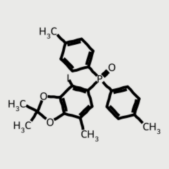 Cc1ccc(P(=O)(c2ccc(C)cc2)c2cc(C)c3c(c2I)OC(C)(C)O3)cc1